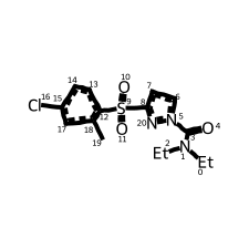 CCN(CC)C(=O)n1ccc(S(=O)(=O)c2ccc(Cl)cc2C)n1